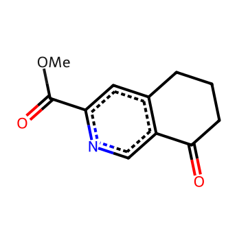 COC(=O)c1cc2c(cn1)C(=O)CCC2